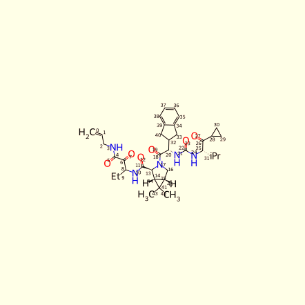 C=CCNC(=O)C(=O)C(CC)NC(=O)[C@@H]1[C@@H]2[C@H](CN1C(=O)[C@@H](NC(=O)N[C@H](C(=O)C1CC1)C(C)C)C1Cc3ccccc3C1)C2(C)C